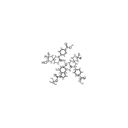 COC(=O)c1ccc(C2CC3(CCN2)CCC(F)(F)C3)cc1.COC(=O)c1ccc(C2CC3(CCN2Cc2c(OC)cc(C)c4c2ccn4C(=O)OC(C)(C)C)CCC(F)(F)C3)cc1.Cl